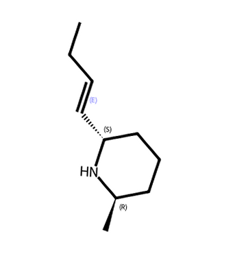 CC/C=C/[C@@H]1CCC[C@@H](C)N1